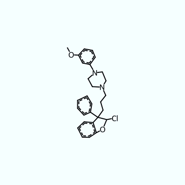 COc1cccc(N2CCN(CCCC3(c4ccccc4)c4ccccc4OC3Cl)CC2)c1